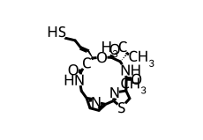 CC(C)[C@@H]1NC(=O)[C@]2(C)CSC(=N2)C2=CCC(=N2)CNC(=O)C[C@@H](/C=C/CCS)OC1=O